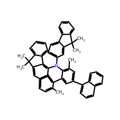 Cc1ccccc1-c1cc(-c2cccc3ccccc23)cc(C)c1N(c1ccc2c(c1)C(C)(C)c1ccccc1-2)c1cccc2c1-c1ccccc1C2(C)C